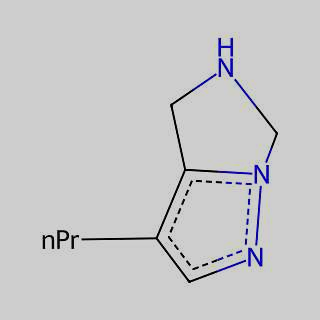 CCCc1cnn2c1CNC2